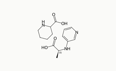 C[C@H](Nc1cccnc1)C(=O)O.O=C(O)C1CCCCN1